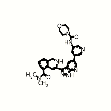 CN(C)C(=O)c1cccc2c1C=C(c1n[nH]c3ncc(-c4cncc(NC(=O)N5CCOCC5)c4)cc13)NC2